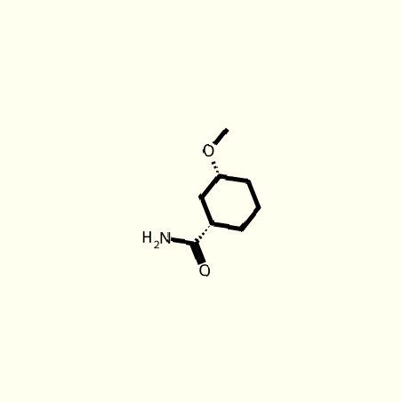 CO[C@@H]1CCC[C@H](C(N)=O)C1